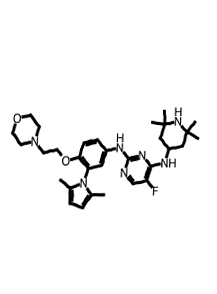 Cc1ccc(C)n1-c1cc(Nc2ncc(F)c(NC3CC(C)(C)NC(C)(C)C3)n2)ccc1OCCN1CCOCC1